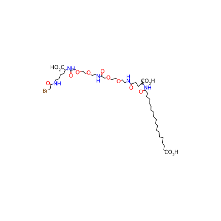 O=C(O)CCCCCCCCCCCCCCCCCCC(=O)N[C@@H](CCC(=O)NCCOCCOCC(=O)NCCOCCOCC(=O)NC(CCCCNC(=O)CBr)C(=O)O)C(=O)O